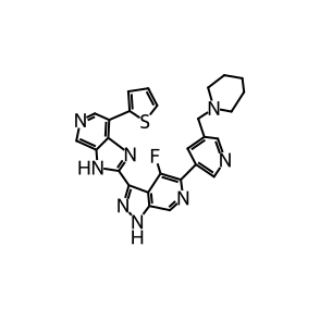 Fc1c(-c2cncc(CN3CCCCC3)c2)ncc2[nH]nc(-c3nc4c(-c5cccs5)cncc4[nH]3)c12